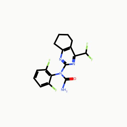 NC(=O)N(c1nc2c(c(C(F)F)n1)CCCC2)c1c(F)cccc1F